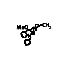 C=CCO/N=C/c1c(OC)c2ccccc2n(Cc2ccccc2)c1=O